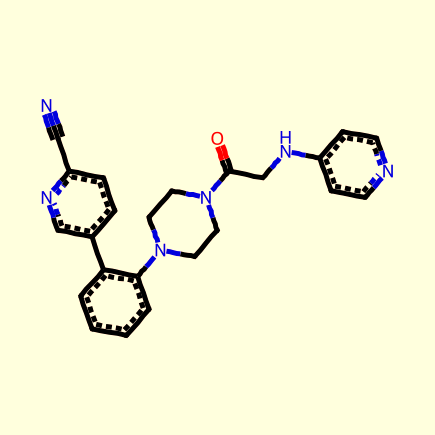 N#Cc1ccc(-c2ccccc2N2CCN(C(=O)CNc3ccncc3)CC2)cn1